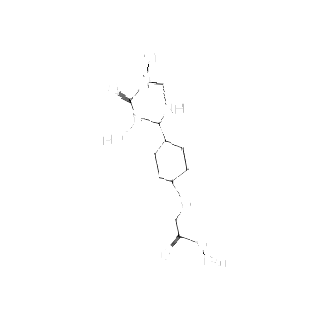 CN1CNC(C2CCC(OCC(=O)OC(C)(C)C)CC2)N(C)C1=O